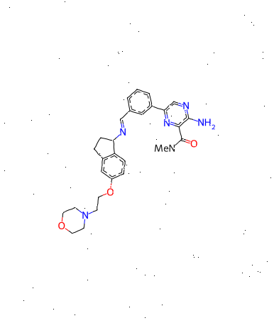 CNC(=O)c1nc(-c2cccc(/C=N/C3CCc4cc(OCCN5CCOCC5)ccc43)c2)cnc1N